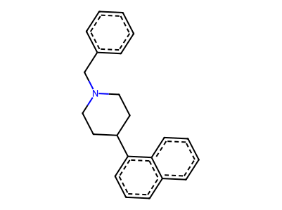 c1ccc(CN2CCC(c3cccc4ccccc34)CC2)cc1